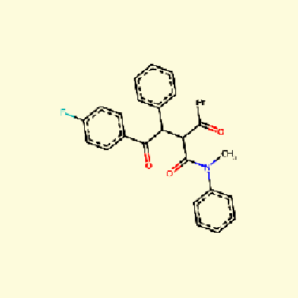 CC(C)C(=O)C(C(=O)N(C)c1ccccc1)C(C(=O)c1ccc(F)cc1)c1ccccc1